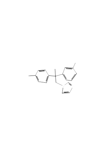 Cc1cccc(C(F)(Cn2ccnc2)c2ccc(Cl)cc2)c1